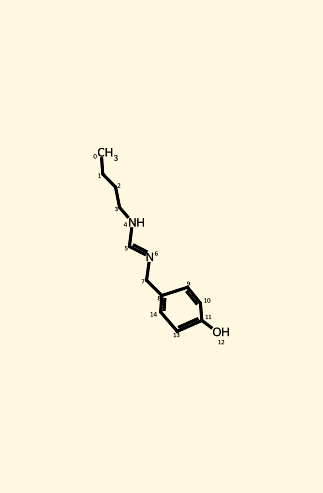 CCCCNC=NCc1ccc(O)cc1